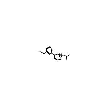 CCCc1cccc(C2C=CCN(CC(C)C)C2)c1